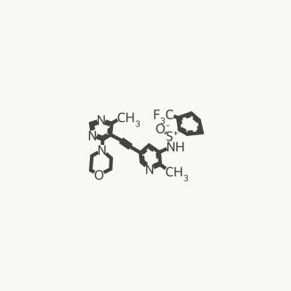 Cc1ncc(C#Cc2c(C)ncnc2N2CCOCC2)cc1N[S+]([O-])c1ccccc1C(F)(F)F